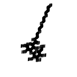 O=CCCOCCOCCOCCNC(=O)C(O)C(O)C(O[C@@H]1OC(CO)[C@@H](O)C(O)[C@H]1O)C(O)CO